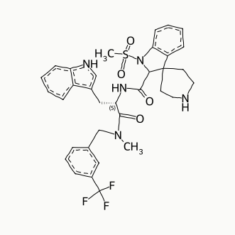 CN(Cc1cccc(C(F)(F)F)c1)C(=O)[C@H](Cc1c[nH]c2ccccc12)NC(=O)C1N(S(C)(=O)=O)c2ccccc2C12CCNCC2